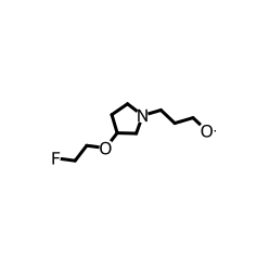 [O]CCCN1CCC(OCCF)C1